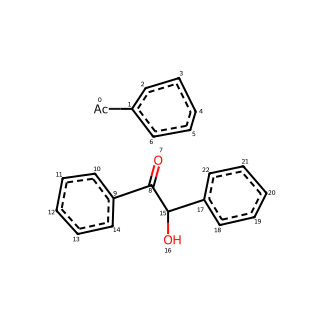 CC(=O)c1ccccc1.O=C(c1ccccc1)C(O)c1ccccc1